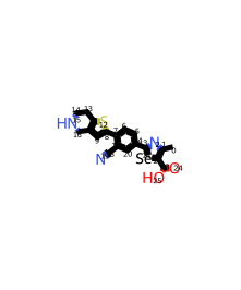 Cc1nc(-c2ccc(-c3cc4c(s3)CCNC4)c(C#N)c2)[se]c1C(=O)O